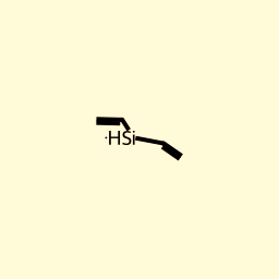 C=C[SiH]C=C